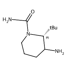 CC(C)(C)[C@@H]1C(N)CCCN1C(N)=O